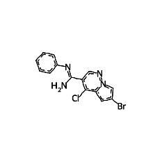 N/C(=N\c1ccccc1)c1cnn2cc(Br)cc2c1Cl